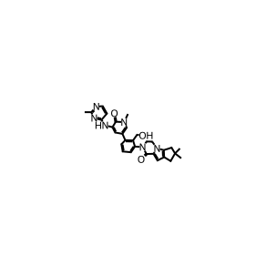 Cc1nccc(Nc2cc(-c3cccc(N4CCn5c(cc6c5CC(C)(C)C6)C4=O)c3CO)cn(C)c2=O)n1